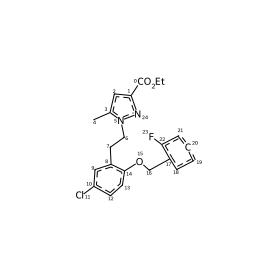 CCOC(=O)c1cc(C)n(CCc2cc(Cl)ccc2OCc2ccccc2F)n1